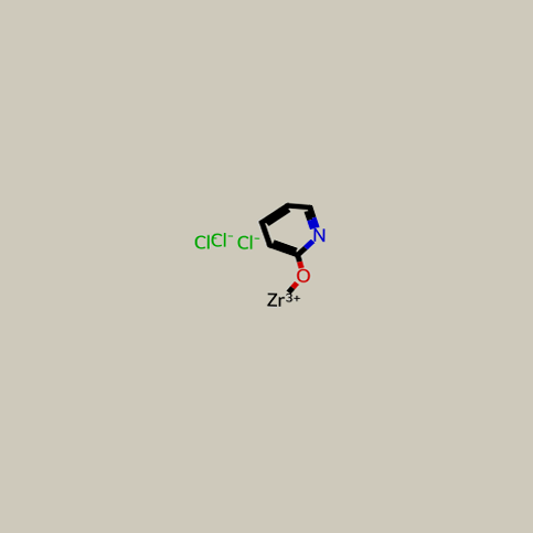 [Cl-].[Cl-].[Cl-].[Zr+3][O]c1ccccn1